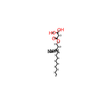 CCCCCCCCCCCCOC(=O)CC(O)O.[NaH].[NaH]